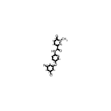 Cn1nc(C(=O)Nc2ccc(Oc3cc(F)cc(Cl)c3)cn2)ccc1=O